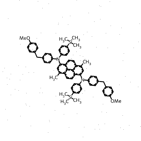 COc1ccc(Cc2ccc(N(c3ccc([Si](C)(C)C)cc3)c3cc(C)c4ccc5c(N(c6ccc(Cc7ccc(OC)cc7)cc6)c6ccc([Si](C)(C)C)cc6)cc(C)c6ccc3c4c65)cc2)cc1